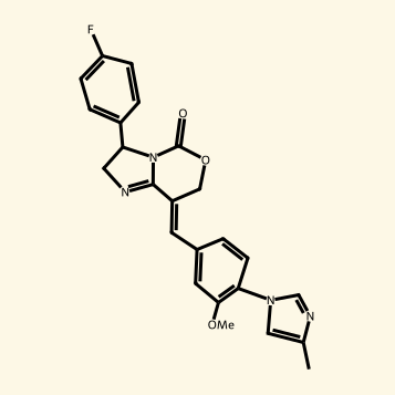 COc1cc(/C=C2\COC(=O)N3C2=NCC3c2ccc(F)cc2)ccc1-n1cnc(C)c1